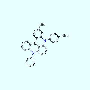 CC(C)(C)c1ccc(N2c3cc(C(C)(C)C)ccc3B3c4ccccc4N(c4ccccc4)c4cccc2c43)cc1